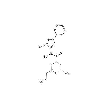 CCN(C(=O)C(CCC(F)(F)F)C[S+]([O-])CCC(F)(F)F)c1cn(-c2cccnc2)nc1Cl